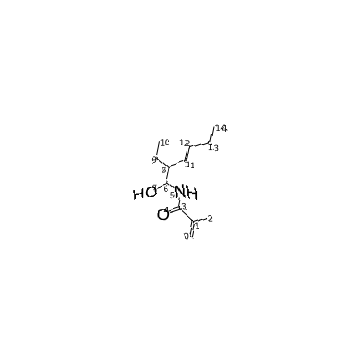 C=C(C)C(=O)NC(O)C(CC)CCCC